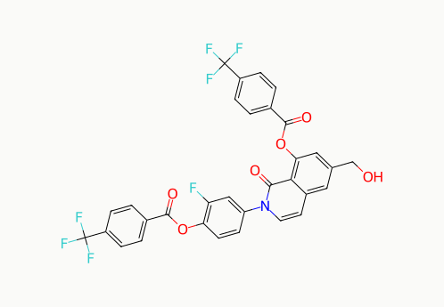 O=C(Oc1ccc(-n2ccc3cc(CO)cc(OC(=O)c4ccc(C(F)(F)F)cc4)c3c2=O)cc1F)c1ccc(C(F)(F)F)cc1